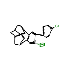 Brc1ccc(-c2cc3c(cc2Br)C2CC4CC5CC3CC45C2)cc1